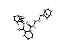 CC1(C)C2CCC1(C)C(OC(=O)C1CCCCC1C(=O)OCOCC1CC3CCC1C3)C2